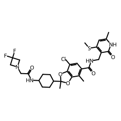 CSc1cc(C)[nH]c(=O)c1CNC(=O)c1cc(Cl)c2c(c1C)OC(C)(C1CCC(NC(=O)CN3CC(F)(F)C3)CC1)O2